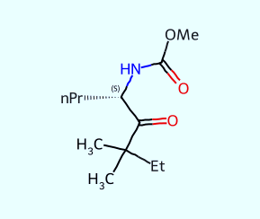 CCC[C@H](NC(=O)OC)C(=O)C(C)(C)CC